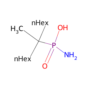 CCCCCCC(C)(CCCCCC)P(N)(=O)O